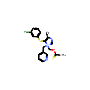 CNC(=S)OC[N+]1(Cc2cccnc2)C=NC(C(C)C)=C1Sc1cccc(Cl)c1